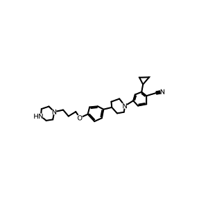 N#Cc1ccc(N2CCC(c3ccc(OCCCN4CCNCC4)cc3)CC2)cc1C1CC1